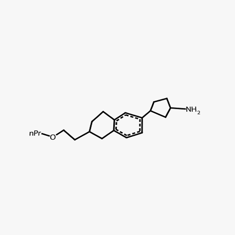 CCCOCCC1CCc2cc(C3CCC(N)C3)ccc2C1